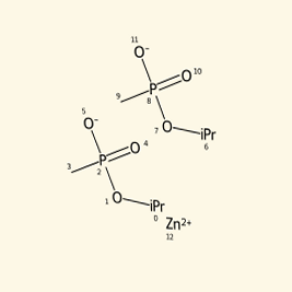 CC(C)OP(C)(=O)[O-].CC(C)OP(C)(=O)[O-].[Zn+2]